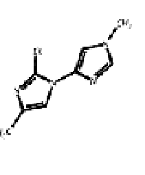 CCc1nc(C)cn1-c1cn(C)cn1